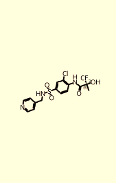 C[C@@](O)(C(=O)Nc1ccc(S(=O)(=O)NCc2ccncc2)cc1Cl)C(F)(F)F